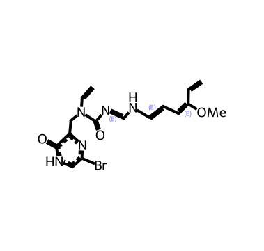 C=C/C(=C\C=C\N/C=N/C(=O)N(C=C)Cc1nc(Br)c[nH]c1=O)OC